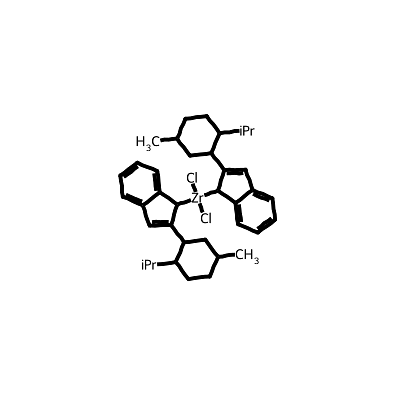 CC1CCC(C(C)C)C(C2=Cc3ccccc3[CH]2[Zr]([Cl])([Cl])[CH]2C(C3CC(C)CCC3C(C)C)=Cc3ccccc32)C1